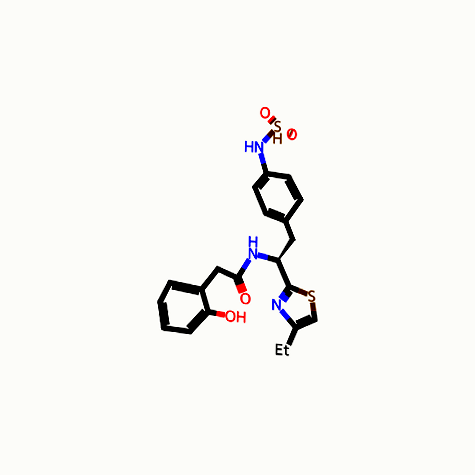 CCc1csc([C@H](Cc2ccc(N[SH](=O)=O)cc2)NC(=O)Cc2ccccc2O)n1